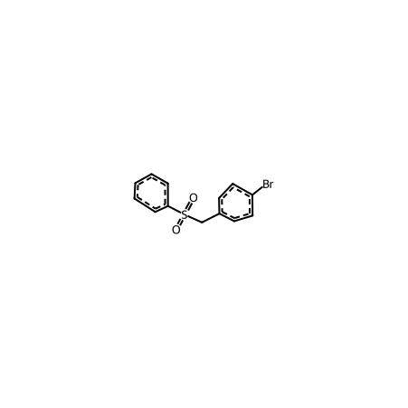 O=S(=O)(Cc1ccc(Br)cc1)c1ccccc1